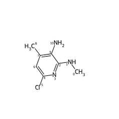 CNc1nc(Cl)cc(C)c1N